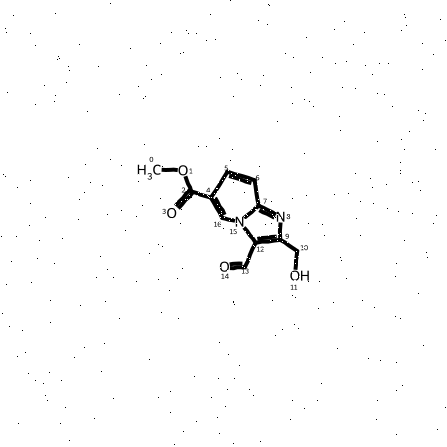 COC(=O)c1ccc2nc(CO)c(C=O)n2c1